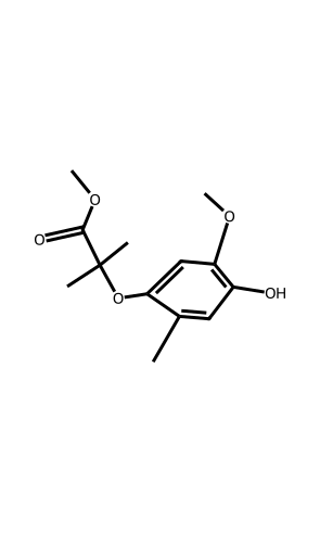 COC(=O)C(C)(C)Oc1cc(OC)c(O)cc1C